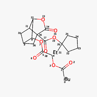 CCC(C)C(=O)OCC(=O)OC1C2CC3C1OC(=O)C3(C(=O)OC1(CC)CCCC1)C2